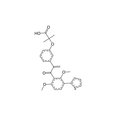 C=C(C(=O)c1c(OC)ccc(-c2cccs2)c1OC)c1cccc(OC(C)(C)C(=O)O)c1